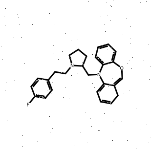 Fc1ccc(CCN2CCCC2CN2C3=CC=CCC3=COc3ccccc32)cc1